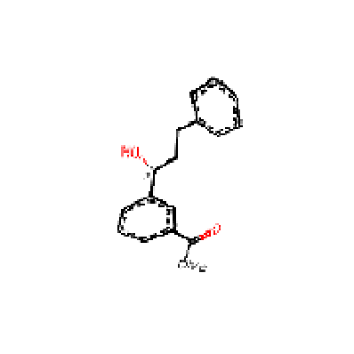 COC(=O)c1cccc([C@H](O)CCc2ccccc2)c1